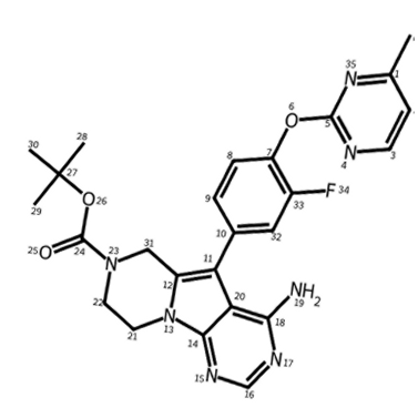 Cc1ccnc(Oc2ccc(-c3c4n(c5ncnc(N)c35)CCN(C(=O)OC(C)(C)C)C4)cc2F)n1